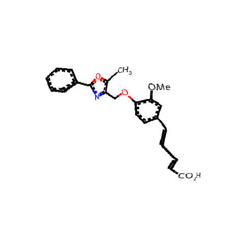 COc1cc(C=CC=CC(=O)O)ccc1OCc1nc(-c2ccccc2)oc1C